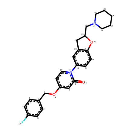 O=c1cc(OCc2ccc(F)cc2)ccn1-c1ccc2c(c1)CC(CN1CCCCC1)O2